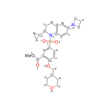 COC(=O)c1cc(S(=O)(=O)N2c3ccc(N4CCC4)cc3CCC2C2CC2)ccc1OCC1CCOCC1